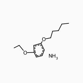 CCCCCOc1cccc(OCC)c1.N